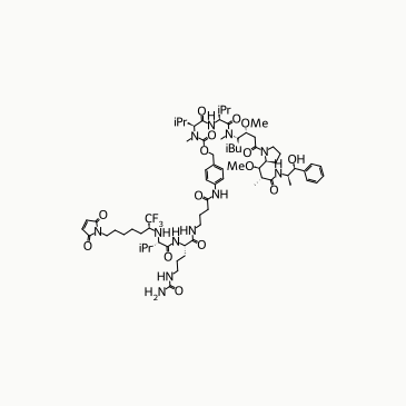 CC[C@H](C)[C@@H]([C@@H](CC(=O)N1CCC[C@H]1[C@H](OC)[C@@H](C)C(=O)N[C@H](C)[C@@H](O)c1ccccc1)OC)N(C)C(=O)[C@@H](NC(=O)[C@H](C(C)C)N(C)C(=O)OCc1ccc(NC(=O)CCCNC(=O)[C@H](CCCNC(N)=O)NC(=O)[C@@H](N[C@@H](CCCCCN2C(=O)C=CC2=O)C(F)(F)F)C(C)C)cc1)C(C)C